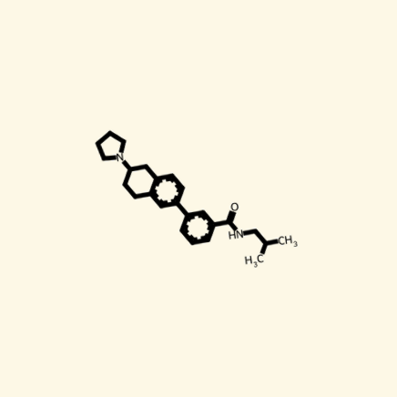 CC(C)CNC(=O)c1cccc(-c2ccc3c(c2)CCC(N2CCCC2)C3)c1